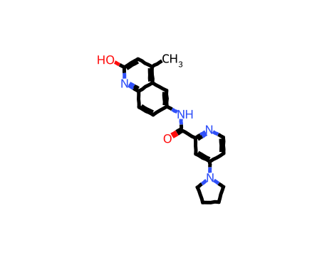 Cc1cc(O)nc2ccc(NC(=O)c3cc(N4CCCC4)ccn3)cc12